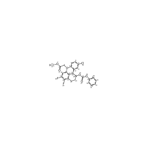 COC(=O)COc1ccc(Cl)cc1[C@@H]1c2ccc(F)c(F)c2CCN1OC(=O)Oc1cnccn1